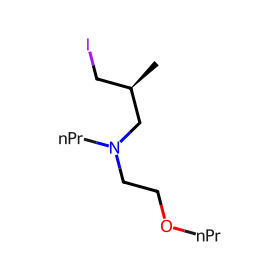 CCCOCCN(CCC)C[C@H](C)CI